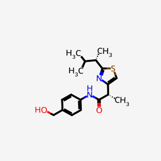 CC(C)[C@H](C)c1nc([C@H](C)C(=O)Nc2ccc(CO)cc2)cs1